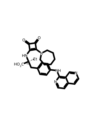 CC[C@@](Cc1ccc(Nc2nccc3ccncc23)cc1)(Nc1c(N2CCCCCC2)c(=O)c1=O)C(=O)O